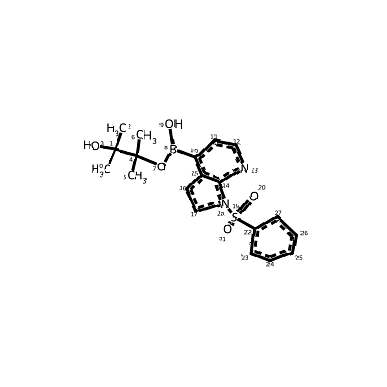 CC(C)(O)C(C)(C)OB(O)c1ccnc2c1ccn2S(=O)(=O)c1ccccc1